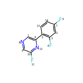 Fc1[c]c(F)c(-c2cncc(F)n2)cc1